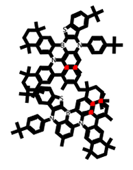 Cc1cc(C)c(-c2cc3c(cc2N2c4cc5c(cc4B4c6sc7ccc(C(C)(C)C)cc7c6N(c6ccc(C(C)(C)C)cc6)c6cc(C)cc2c64)C(C)(Cc2cccc(-c4cc6c(cc4N4c7cc8c(cc7B7c9sc%10ccc(C(C)(C)C)cc%10c9N(c9ccc(C(C)(C)C)cc9)c9cc(C)cc4c97)C(C)(C)CCC8(C)C)C(C)(C)CCC6(C)C)c2C)CCC5(C)C)C(C)(C)CCC3(C)C)c(C)c1